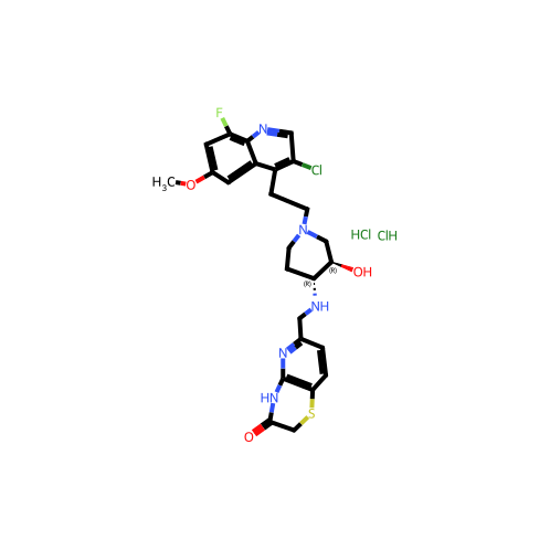 COc1cc(F)c2ncc(Cl)c(CCN3CC[C@@H](NCc4ccc5c(n4)NC(=O)CS5)[C@H](O)C3)c2c1.Cl.Cl